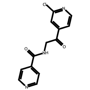 O=C(CNC(=O)c1ccncc1)c1ccnc(Cl)c1